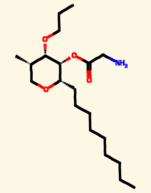 CCCCCCCCC[C@@H]1OC[C@H](C)[C@H](OCCC)[C@@H]1OC(=O)CN